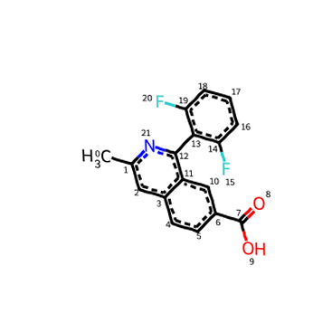 Cc1cc2ccc(C(=O)O)cc2c(-c2c(F)cccc2F)n1